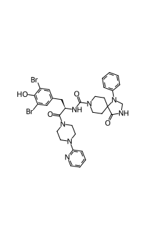 O=C(N[C@H](Cc1cc(Br)c(O)c(Br)c1)C(=O)N1CCN(c2ccccn2)CC1)N1CCC2(CC1)C(=O)NCN2c1ccccc1